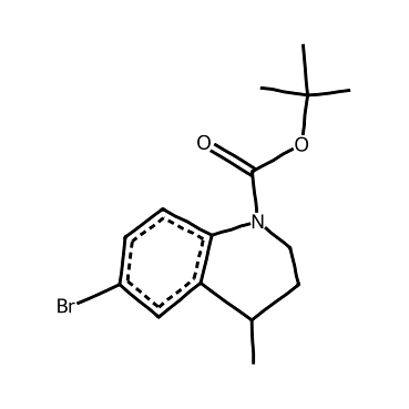 CC1CCN(C(=O)OC(C)(C)C)c2ccc(Br)cc21